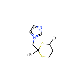 CCCC1(Cn2ccnc2)SCCC(CC)S1